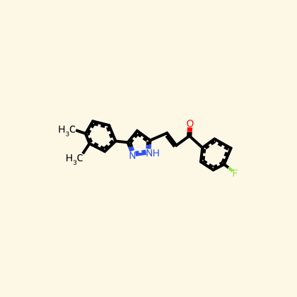 Cc1ccc(-c2cc(C=CC(=O)c3ccc(F)cc3)[nH]n2)cc1C